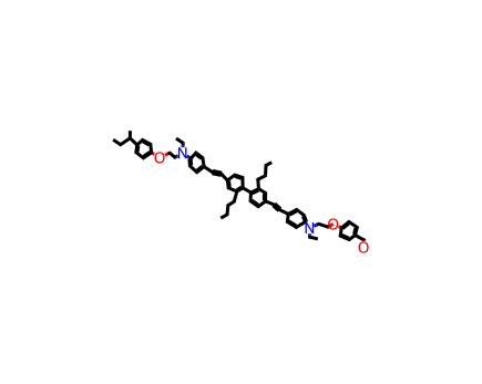 CCCCc1cc(C#Cc2ccc(N(CC)CCOc3ccc(C=O)cc3)cc2)ccc1-c1ccc(C#Cc2ccc(N(CC)CCOc3ccc(C(C)CC)cc3)cc2)cc1CCCC